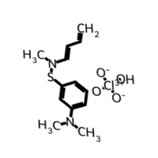 C=CC=CN(C)Sc1cccc(N(C)C)c1.[O-][Cl+3]([O-])([O-])O